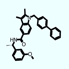 COc1cccc([C@H](C)NC(=O)c2ccc3c(c2)c(C)c(C)n3Cc2ccc(-c3ccccc3)cc2)c1